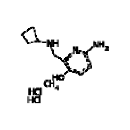 C.Cl.Cl.Nc1ccc(O)c(CNC2CCC2)n1